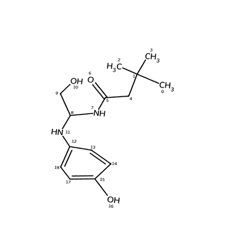 CC(C)(C)CC(=O)NC(CO)Nc1ccc(O)cc1